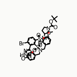 COc1ccc(CN(Cc2ccc(OC)cc2)S(=O)(=O)c2c(S(=O)(=O)NC3CCN(C(=O)OC(C)(C)C)C3)ccc(Br)c2-c2nn[nH]n2)cc1